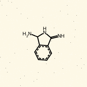 N=C1NC(N)c2ccccc21